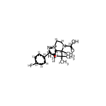 CC(C)(C)C1(C)c2c(I)c(-c3ccc(F)cc3)nn2CCN1C(=O)O